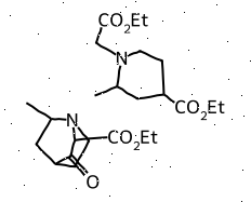 CCOC(=O)C1C(=O)C2CCN1C(C)C2.CCOC(=O)CN1CCC(C(=O)OCC)CC1C